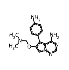 CN(C)COc1cn2ncnc(N)c2c1-c1ccc(N)cc1